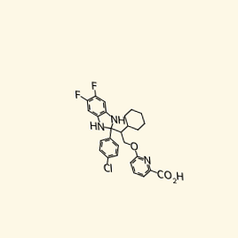 O=C(O)c1cccc(OCC(C2CCCCC2)C2(c3ccc(Cl)cc3)Nc3cc(F)c(F)cc3N2)n1